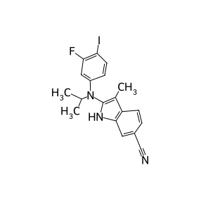 Cc1c(N(c2ccc(I)c(F)c2)C(C)C)[nH]c2cc(C#N)ccc12